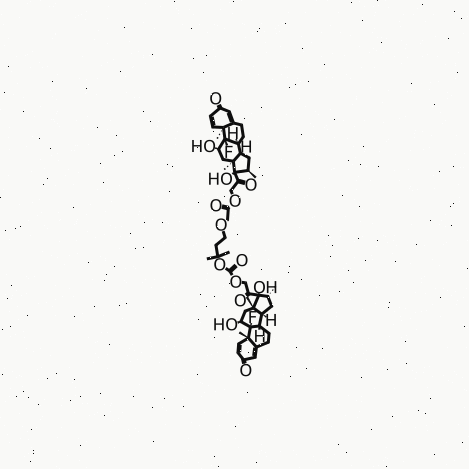 C[C@@H]1C[C@H]2[C@@H]3CCC4=CC(=O)C=C[C@]4(C)[C@@]3(F)[C@@H](O)C[C@]2(C)[C@@]1(O)C(=O)COC(=O)COCCC(C)(C)OC(=O)OCC(=O)[C@@]1(O)[C@H](C)C[C@H]2[C@@H]3CCC4=CC(=O)C=C[C@]4(C)[C@@]3(F)[C@@H](O)C[C@@]21C